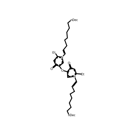 CCCCCCCCCCCCCCCCC=Cn1cc(Oc2cn(C=CCCCCCCCCCCCCCCCC)c(CC)cc2=O)c(=O)cc1CC